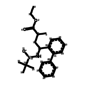 CCOC(=O)C(C)CC(N[S+]([O-])C(C)(C)C)c1ccccc1-c1ccccc1